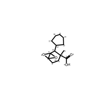 CC1(C(=O)O)CCC23OC2(O3)C1C1CCCCC1